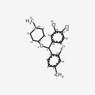 Cc1ccc(C(OC2CCN(C)CC2)c2ccc(Cl)c(Cl)c2)c(F)c1